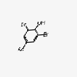 CC(=O)C1=CC(Br)C(O)C(Br)=C1